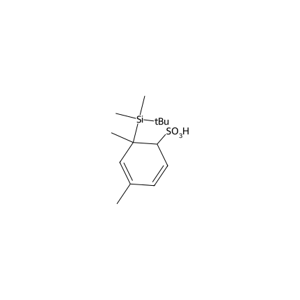 CC1=CC(C)([Si](C)(C)C(C)(C)C)C(S(=O)(=O)O)C=C1